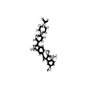 COc1ccc2c(c1)[C@]1(CC1c1ccc3c(-c4ccc(N5CCN(C(C)C)CC5)nc4)n[nH]c3c1)C(=O)N2